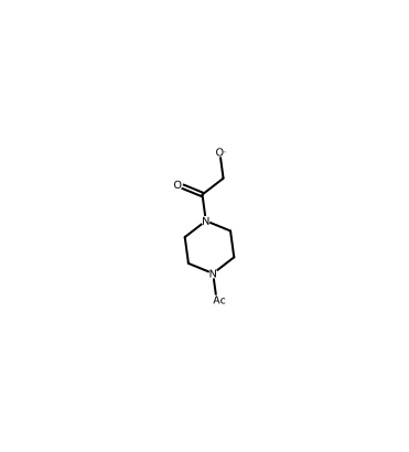 CC(=O)N1CCN(C(=O)C[O])CC1